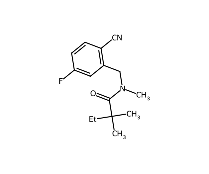 CCC(C)(C)C(=O)N(C)Cc1cc(F)ccc1C#N